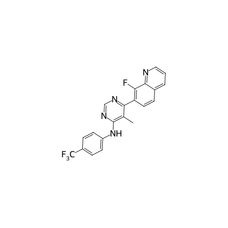 Cc1c(Nc2ccc(C(F)(F)F)cc2)ncnc1-c1ccc2cccnc2c1F